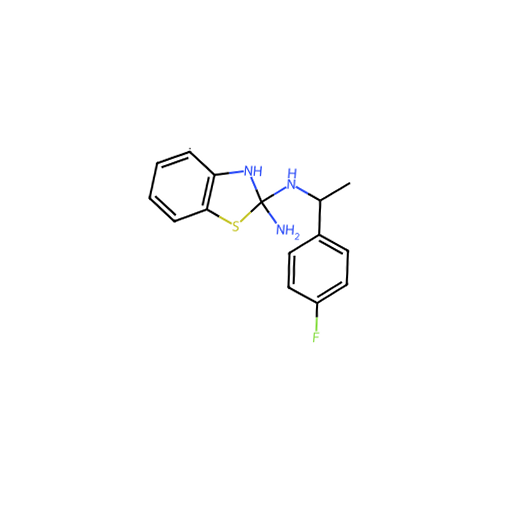 CC(NC1(N)Nc2[c]cccc2S1)c1ccc(F)cc1